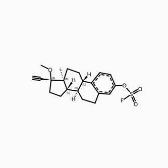 C#C[C@]1(OC)CC[C@H]2[C@@H]3CCc4cc(OS(=O)(=O)F)ccc4[C@H]3CC[C@@]21C